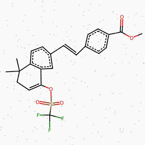 COC(=O)c1ccc(C=Cc2ccc3c(c2)C(OS(=O)(=O)C(F)(F)F)=CCC3(C)C)cc1